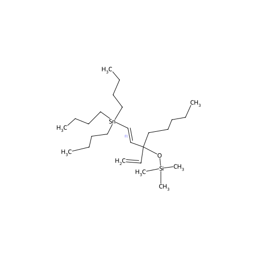 C=CC(/C=[CH]/[Sn]([CH2]CCC)([CH2]CCC)[CH2]CCC)(CCCCC)O[Si](C)(C)C